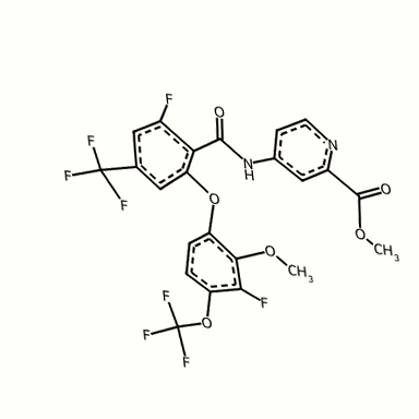 COC(=O)c1cc(NC(=O)c2c(F)cc(C(F)(F)F)cc2Oc2ccc(OC(F)(F)F)c(F)c2OC)ccn1